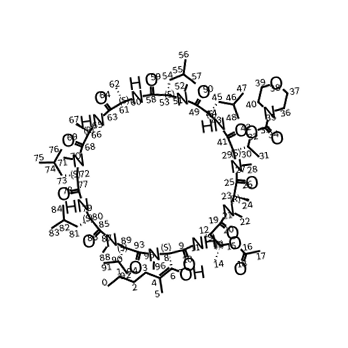 CCCCC(C)=C(O)[C@H]1C(=O)N[C@@H]([C@@H](C)OC(C)=O)C(=O)N(C)[C@H](C)C(=O)N(C)[C@@H](C(C)OC(=O)N2CCOCC2)C(=O)N[C@@H](CC(C)C)C(=O)N(C)[C@@H](CC(C)C)C(=O)N[C@@H](C)C(=O)N[C@H](C)C(=O)N(C)[C@@H](CC(C)C)C(=O)N[C@@H](CC(C)C)C(=O)N(C)[C@@H](C(C)C)C(=O)N1C